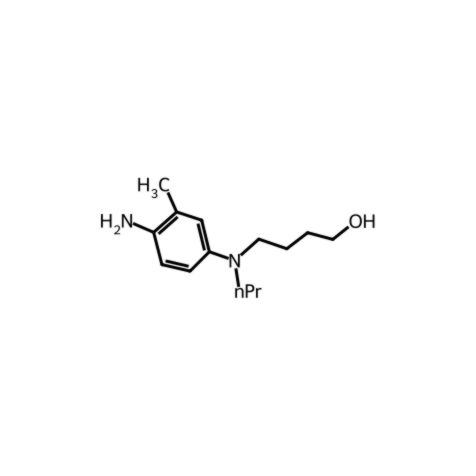 CCCN(CCCCO)c1ccc(N)c(C)c1